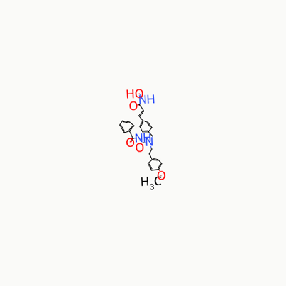 COc1ccc(CCN(Cc2ccc(C=CC(=O)NO)cc2)C(=O)NC(=O)c2ccccc2)cc1